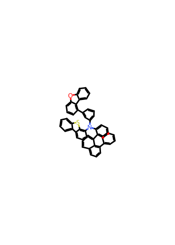 c1ccc(-c2cccc3cccc(-c4ccccc4N(c4cccc(-c5cccc6oc7ccccc7c56)c4)c4cccc5c4sc4ccccc45)c23)cc1